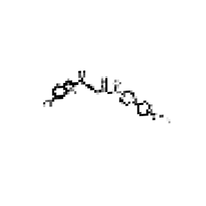 CN1CCC(N2CCN(C(=O)CNCC#CC(=O)c3cc4ccc(Cl)cc4s3)CC2)CC1